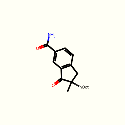 CCCCCCCCC1(C)Cc2ccc(C(N)=O)cc2C1=O